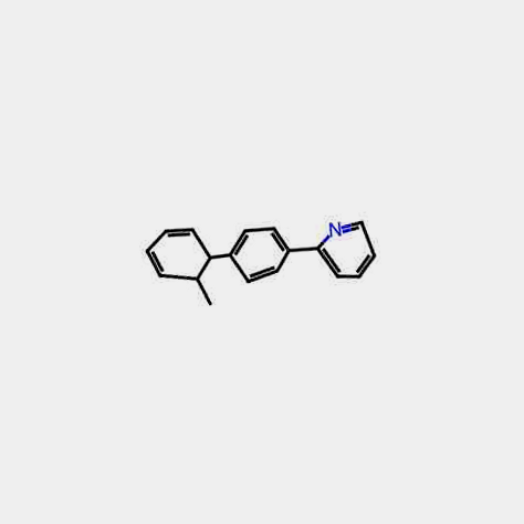 CC1C=CC=CC1c1ccc(-c2ccccn2)cc1